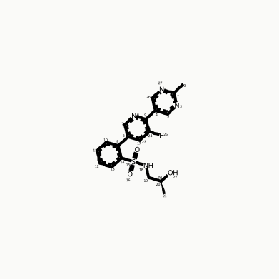 Cc1ncc(-c2ncc(-c3ccccc3S(=O)(=O)NC[C@H](C)O)cc2F)cn1